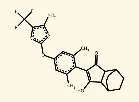 Cc1cc(Oc2nc(C(F)(F)F)c(N)s2)cc(C)c1C1=C(O)C2C3CCC(CC3)C2C1=O